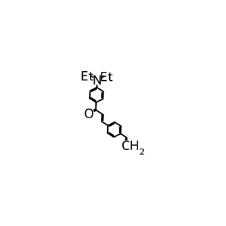 C=Cc1ccc(C=CC(=O)c2ccc(N(CC)CC)cc2)cc1